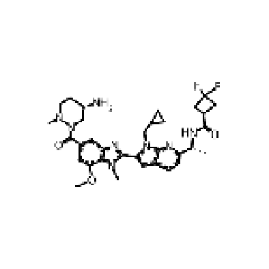 COc1cc(C(=O)N2C[C@H](N)CCN2C)cc2nc(-c3cc4ccc([C@@H](C)NC(=O)C5CC(F)(F)C5)nc4n3CC3CC3)n(C)c12